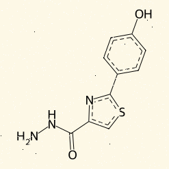 NNC(=O)c1csc(-c2ccc(O)cc2)n1